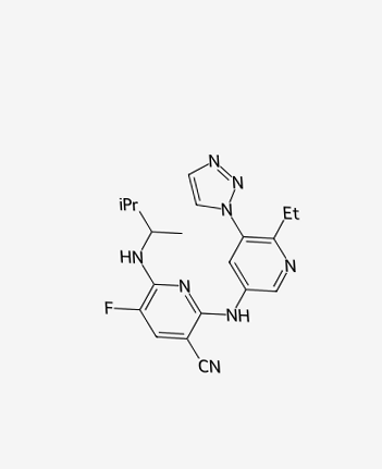 CCc1ncc(Nc2nc(NC(C)C(C)C)c(F)cc2C#N)cc1-n1ccnn1